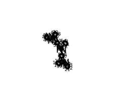 c1ccc(-c2nc(-c3ccc(-n4c5ccccc5n5c6ccccc6nc45)cc3)nn2-c2ccc(-n3c4ccccc4n4c5ccccc5nc34)cc2)cc1